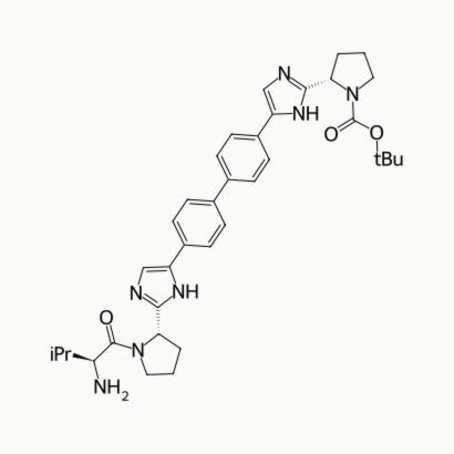 CC(C)[C@H](N)C(=O)N1CCC[C@H]1c1ncc(-c2ccc(-c3ccc(-c4cnc([C@@H]5CCCN5C(=O)OC(C)(C)C)[nH]4)cc3)cc2)[nH]1